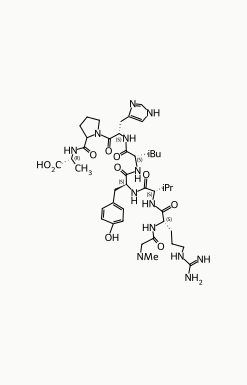 CCC(C)[C@H](NC(=O)[C@H](Cc1ccc(O)cc1)NC(=O)[C@@H](NC(=O)[C@H](CCCNC(=N)N)NC(=O)CNC)C(C)C)C(=O)N[C@@H](Cc1c[nH]cn1)C(=O)N1CCCC1C(=O)N[C@H](C)C(=O)O